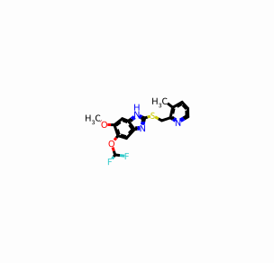 COc1cc2[nH]c(SCc3ncccc3C)nc2cc1OC(F)F